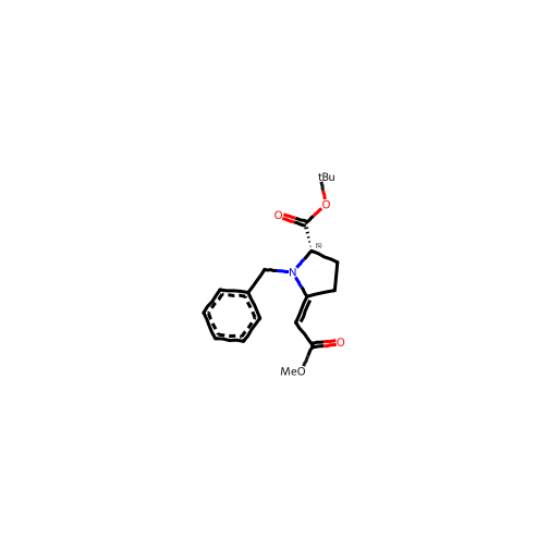 COC(=O)C=C1CC[C@@H](C(=O)OC(C)(C)C)N1Cc1ccccc1